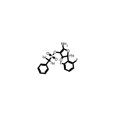 [2H]C([2H])(c1ccccc1)S(=O)(=O)OC1=C(N)O[C@@]([2H])(c2c(F)cccc2F)C1=O